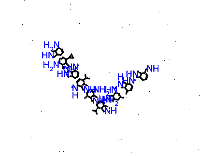 CC(C)C1C=CC(N)C2CNCC12.CC1C=CC(N)C2CNCC12.CNC1C=C(C)CC2CNCC21.CNC1C=CC(C(C)C)C2CNCC12.CNC1C=CC(C)C2CNCC12.CNC1C=CCC2CNCC21.CNCC1C=CCC2CNCC12.NC1C=CC(C2CC2)C2CNCC12.NC1C=CCC2CNCC12